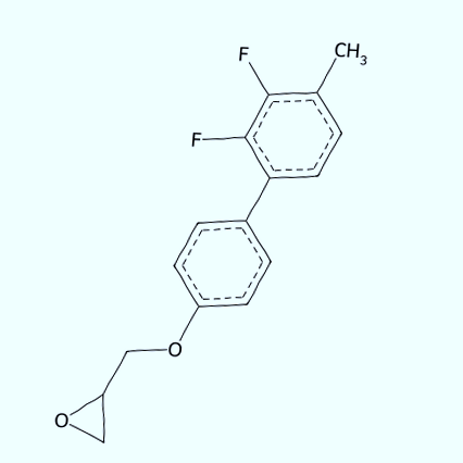 Cc1ccc(-c2ccc(OCC3CO3)cc2)c(F)c1F